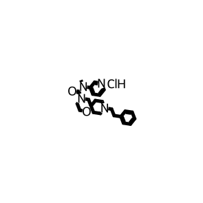 CN(C(=O)N1CCOC2(CCN(CCc3ccccc3)CC2)C1)c1cccnc1.Cl